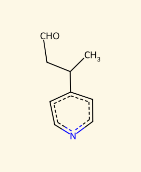 CC(CC=O)c1ccncc1